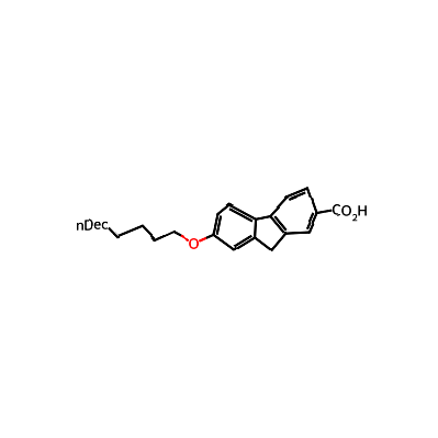 CCCCCCCCCCCCCCOc1ccc2c(c1)Cc1cc(C(=O)O)ccc1-2